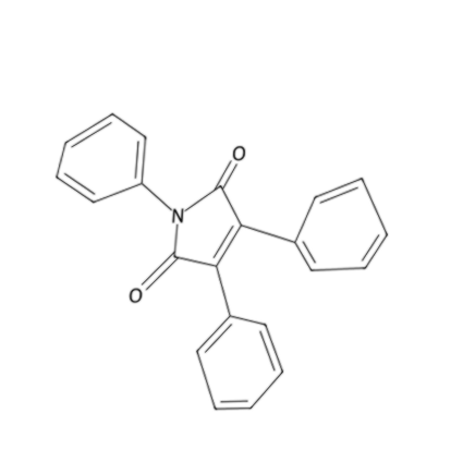 O=C1C(c2ccccc2)=C(c2ccccc2)C(=O)N1c1ccccc1